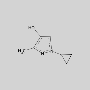 Cc1nn(C2CC2)cc1O